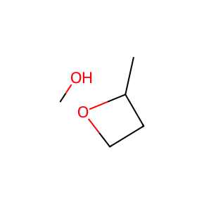 CC1CCO1.CO